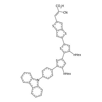 CCCCCCc1cc(-c2sc(-c3cc4sc(/C=C(\C#N)C(=O)O)cc4s3)cc2CCCCCC)sc1-c1ccc(-n2c3ccccc3c3ccccc32)cc1